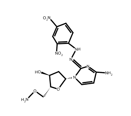 NOC[C@H]1O[C@@H](n2ccc(N)nc2=NNc2ccc([N+](=O)[O-])cc2[N+](=O)[O-])C[C@@H]1O